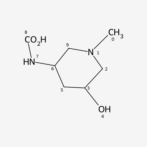 CN1CC(O)CC(NC(=O)O)C1